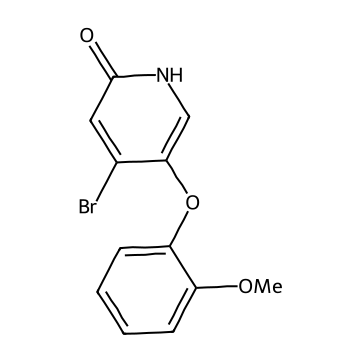 COc1ccccc1Oc1c[nH]c(=O)cc1Br